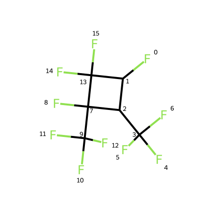 FC1C(C(F)(F)F)C(F)(C(F)(F)F)C1(F)F